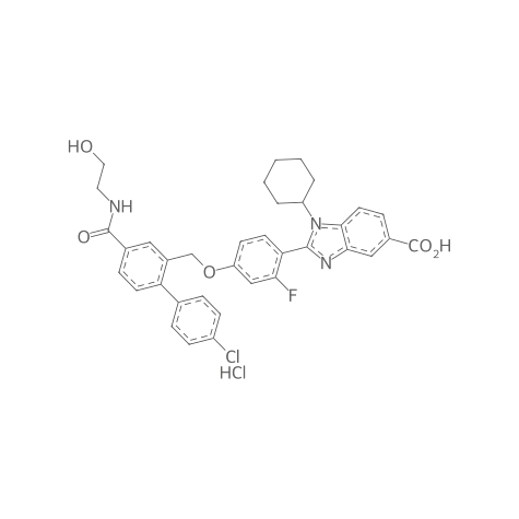 Cl.O=C(O)c1ccc2c(c1)nc(-c1ccc(OCc3cc(C(=O)NCCO)ccc3-c3ccc(Cl)cc3)cc1F)n2C1CCCCC1